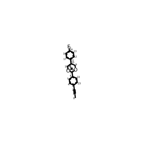 CC#Cc1ccc(C23OCC(c4ccc(F)cc4)(CO2)CO3)cc1